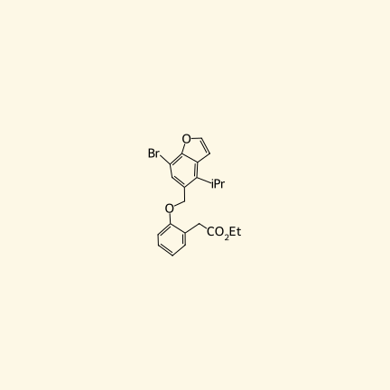 CCOC(=O)Cc1ccccc1OCc1cc(Br)c2occc2c1C(C)C